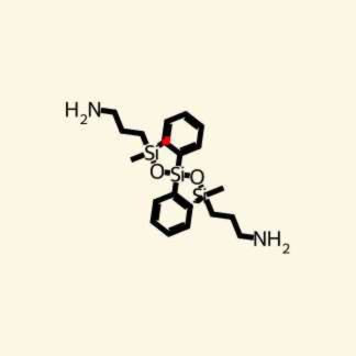 C[Si](C)(CCCN)O[Si](O[Si](C)(C)CCCN)(c1ccccc1)c1ccccc1